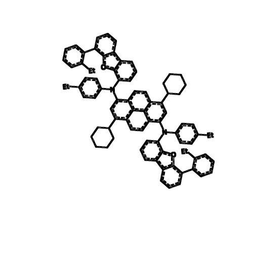 CCc1ccc(N(c2cc(C3CCCCC3)c3ccc4c(N(c5ccc(CC)cc5)c5cccc6c5oc5c(-c7ccccc7CC)cccc56)cc(C5CCCCC5)c5ccc2c3c54)c2cccc3c2oc2c(-c4ccccc4CC)cccc23)cc1